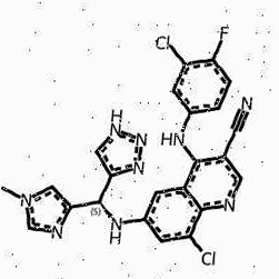 Cn1cnc([C@H](Nc2cc(Cl)c3ncc(C#N)c(Nc4ccc(F)c(Cl)c4)c3c2)c2c[nH]nn2)c1